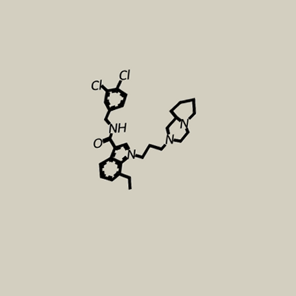 CCc1cccc2c(C(=O)NCc3ccc(Cl)c(Cl)c3)cn(CCCN3CCN4CCCCC4C3)c12